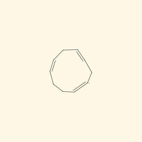 [C]1=CCCC=CCC=CC1